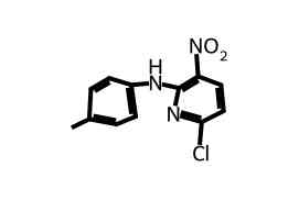 Cc1ccc(Nc2nc(Cl)ccc2[N+](=O)[O-])cc1